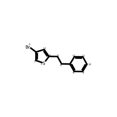 Brc1csc(CCc2ccccc2)c1